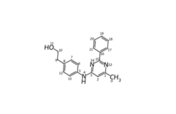 Cc1cc(Nc2ccc(CCO)cc2)nc(-c2ccccc2)n1